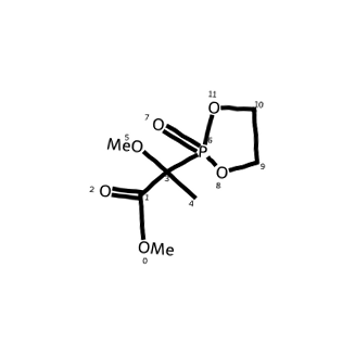 COC(=O)C(C)(OC)P1(=O)OCCO1